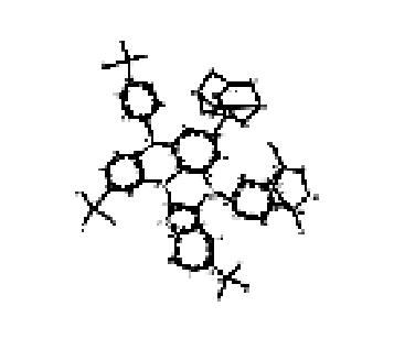 CC(C)(C)c1ccc(N2c3ccc(C(C)(C)C)cc3B3c4sc5ccc(C(C)(C)C)cc5c4N(c4ccc5c(c4)C4(C)CCC5(C)CC4)c4cc(C56CC7CC(CC(C7)C5)C6)cc2c43)cc1